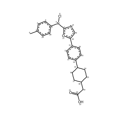 Cc1ccc(N(Cl)c2ncc(-c3ccc(C4CCC(CC(=O)O)CC4)cc3)o2)cc1